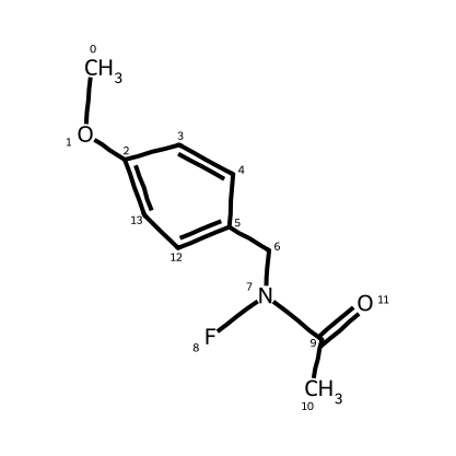 COc1ccc(CN(F)C(C)=O)cc1